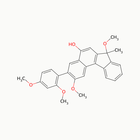 COc1ccc(-c2cc3c(O)cc4c(c3cc2OC)-c2ccccc2C4(C)OC)c(OC)c1